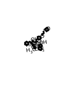 CC(C)(C)OC(=O)NC(Cc1ccccc1)C(O)CC(Cc1ccc(OCCCN2CCOCC2)cc1)C(=O)N[C@H]1c2ccccc2C[C@@H]1O